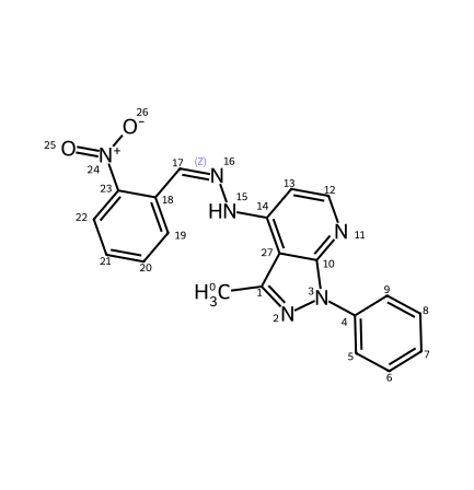 Cc1nn(-c2ccccc2)c2nccc(N/N=C\c3ccccc3[N+](=O)[O-])c12